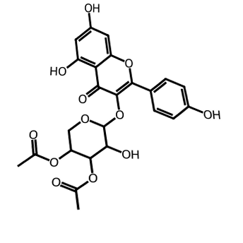 CC(=O)OC1COC(Oc2c(-c3ccc(O)cc3)oc3cc(O)cc(O)c3c2=O)C(O)C1OC(C)=O